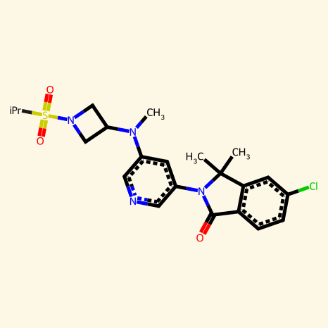 CC(C)S(=O)(=O)N1CC(N(C)c2cncc(N3C(=O)c4ccc(Cl)cc4C3(C)C)c2)C1